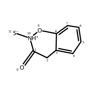 O=C1Cc2ccccc2O[NH+]1[S-]